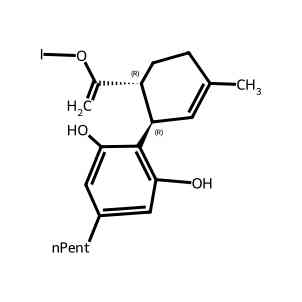 C=C(OI)[C@@H]1CCC(C)=C[C@H]1c1c(O)cc(CCCCC)cc1O